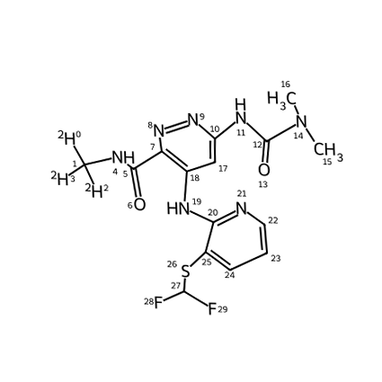 [2H]C([2H])([2H])NC(=O)c1nnc(NC(=O)N(C)C)cc1Nc1ncccc1SC(F)F